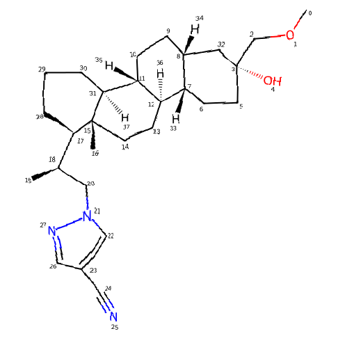 COC[C@@]1(O)CC[C@H]2[C@H](CC[C@@H]3[C@@H]2CC[C@]2(C)[C@@H]([C@H](C)Cn4cc(C#N)cn4)CCC[C@@H]32)C1